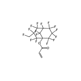 C=CC(=O)OC12C(F)(F)C(F)(F)C(F)(F)C(F)(C(F)(F)C(F)(CF)C1(F)F)C2(F)F